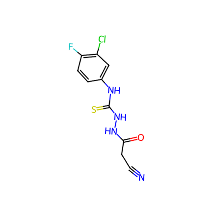 N#CCC(=O)NNC(=S)Nc1ccc(F)c(Cl)c1